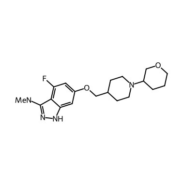 CNc1n[nH]c2cc(OCC3CCN(C4CCCOC4)CC3)cc(F)c12